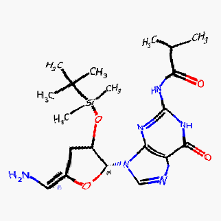 CC(C)C(=O)Nc1nc2c(ncn2[C@@H]2O/C(=C/N)CC2O[Si](C)(C)C(C)(C)C)c(=O)[nH]1